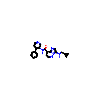 O=C(Nc1cnccc1-c1ccccc1)c1ccnn2c(NCC3CC3)cnc12